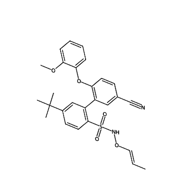 CC=CONS(=O)(=O)c1ccc(C(C)(C)C)cc1-c1cc(C#N)ccc1Oc1ccccc1OC